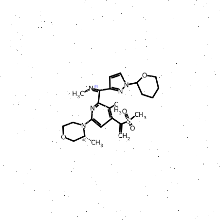 C=C(c1cc(N2CCOC[C@H]2C)nc(/C(=N\C)c2ccn(C3CCCCO3)n2)c1C)S(C)(=O)=O